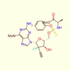 C#C[C@@]1(F)[C@H](O)[C@@H](CO[P@@](=S)(N[C@H](C)C(=O)OC)Oc2ccccc2)O[C@H]1n1cnc2c(NC)nc(N)nc21